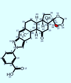 C[C@]12Cc3cn(-c4cccc(C(=O)O)c4)nc3C=C1CC[C@@H]1[C@@H]2C(=O)C[C@@]2(C)[C@H]1CC[C@@]21OCOC12COCO2